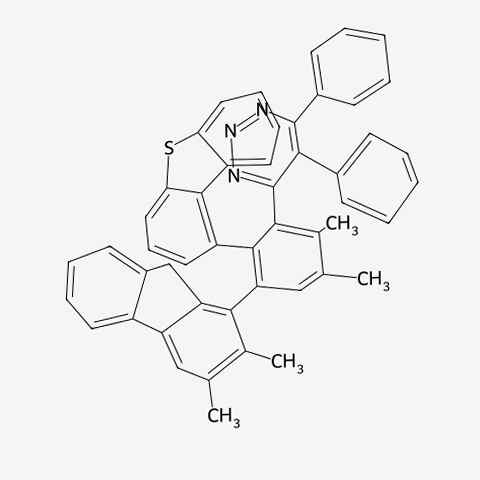 Cc1cc2c(c(-c3cc(C)c(C)c(-c4nnnc(-c5ccccc5)c4-c4ccccc4)c3-c3cccc4sc5ccccc5c34)c1C)Cc1ccccc1-2